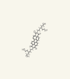 O=C1c2ccc3c4ccc5c6c(ccc(c7ccc(c2c37)C(=O)N1CCCN(CCO)CCO)c64)C(=O)N(CCCN(CCO)CCO)C5=O